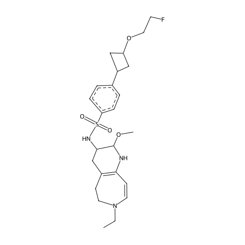 CCN1C=CC2=C(CC1)CC(NS(=O)(=O)c1ccc(C3CC(OCCF)C3)cc1)C(OC)N2